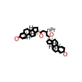 CCCC(CC(=O)[C@H]1CC[C@H]2[C@@H]3CCC4=CC(=O)C=C[C@]4(C)[C@H]3CC[C@]12C)CC(=O)[C@H]1CC[C@H]2[C@@H]3CCC4=CC(=O)C=C[C@]4(C)[C@H]3CC[C@]12C